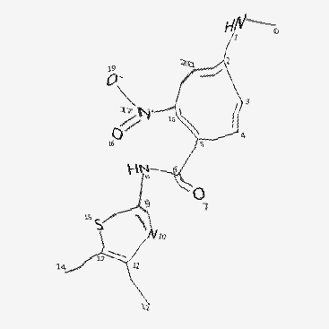 CNc1ccc(C(=O)Nc2nc(C)c(C)s2)c([N+](=O)[O-])c1